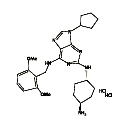 COc1cccc(OC)c1CNc1nc(N[C@H]2CC[C@H](N)CC2)nc2c1ncn2C1CCCC1.Cl.Cl